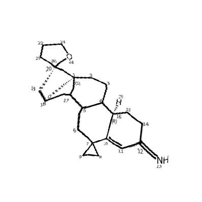 C[C@]12CCC3C(CC4(CC4)C4=CC(=N)CC[C@@H]43)C1CC[C@@]21CCCO1